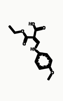 CCOC(=O)C(=CNc1ccc(OC)cc1)C(=O)O